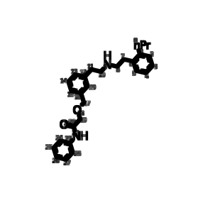 CCCc1ccccc1CCNCCc1cccc(COCC(=O)Nc2ccccc2)c1